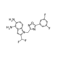 Nc1ccc2c(cc(C(F)F)n2Cc2noc(-c3cc(F)cc(F)c3)n2)c1N